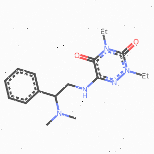 CCn1nc(NCC(c2ccccc2)N(C)C)c(=O)n(CC)c1=O